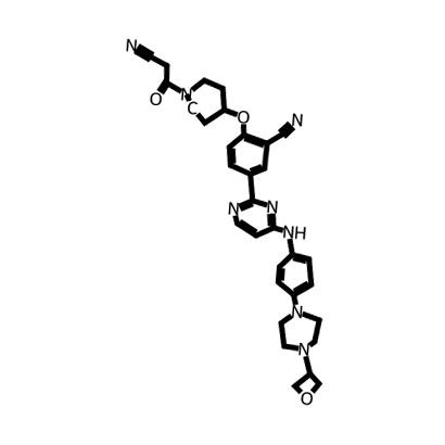 N#CCC(=O)N1CCC(Oc2ccc(-c3nccc(Nc4ccc(N5CCN(C6COC6)CC5)cc4)n3)cc2C#N)CC1